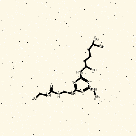 CC(C)(C)CNC(=O)NCNc1nc(NC(O)CCCC(O)C(C)(C)C)nc(NC(C)(C)C)n1